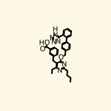 CCCCc1nc(CC)c(Cc2cccc(C(=O)O)c2)c(OCc2ccc(-c3ccccc3-c3nnn[nH]3)cc2)n1